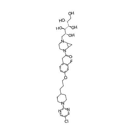 O=C(Cc1ccc(OCCCC2CCN(c3ncc(Cl)cn3)CC2)cc1F)N1CCN(C[C@H](O)[C@@H](O)[C@H](O)[C@H](O)CO)C2CC21